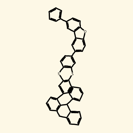 c1ccc(-c2ccc3oc4ccc(-c5ccc6c(c5)Sc5ccc(-c7cccc8c7C(c7ccccc7)c7ccccc7C8)cc5S6)cc4c3c2)cc1